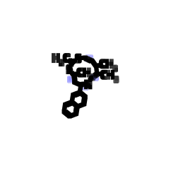 C=C1S/C=C\C(C)/C(C)=C/N=C(c2ccc3ccccc3c2)\C=C(/C)S1